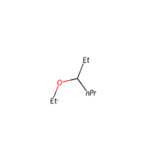 C[CH]OC(CC)CCC